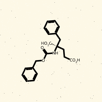 O=C(O)CC[C@](Cc1ccccc1)(NC(=O)OCc1ccccc1)C(=O)O